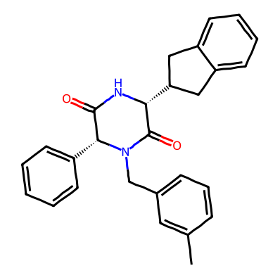 Cc1cccc(CN2C(=O)[C@@H](C3Cc4ccccc4C3)NC(=O)[C@H]2c2ccccc2)c1